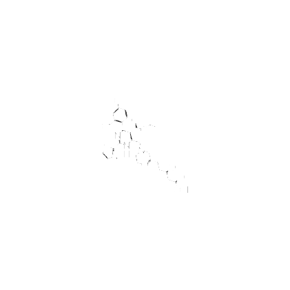 CCOC(=O)C1=C(CN2CCO[C@H](CCC(=O)CC(=O)O)C2)NC(c2nccs2)=N[C@H]1c1ccc(Cl)cc1Cl